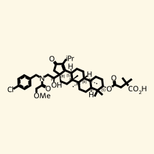 COCC(=O)N(Cc1ccc(Cl)cc1)C[C@H](O)[C@@]12CC[C@]3(C)[C@H](CC[C@@H]4[C@@]5(C)CC[C@H](OC(=O)CC(C)(C)C(=O)O)C(C)(C)[C@H]5CC[C@]43C)C1=C(C(C)C)C(=O)C2